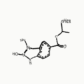 CCCCCCC(C)OC(=O)c1ccc2c(c1)N(C(C)(C)C)N(O)N2